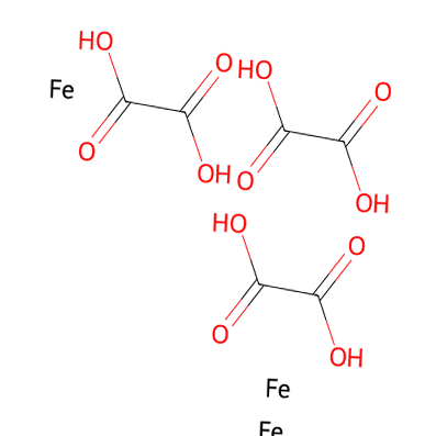 O=C(O)C(=O)O.O=C(O)C(=O)O.O=C(O)C(=O)O.[Fe].[Fe].[Fe]